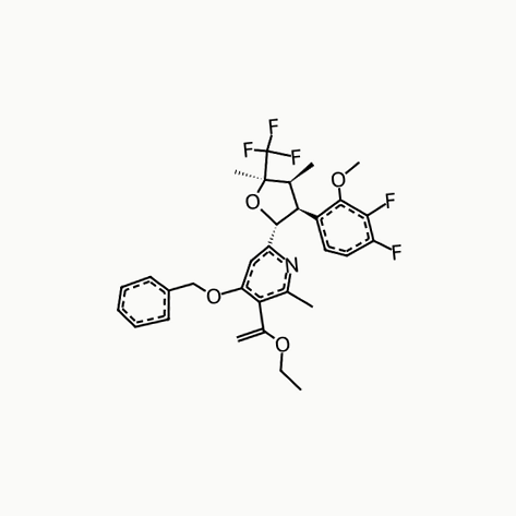 C=C(OCC)c1c(OCc2ccccc2)cc([C@@H]2O[C@@](C)(C(F)(F)F)[C@@H](C)[C@H]2c2ccc(F)c(F)c2OC)nc1C